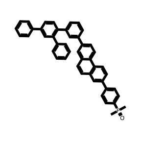 CP(C)(=O)c1ccc(-c2ccc3c(ccc4cc(-c5cccc(-c6ccc(-c7ccccc7)cc6-c6ccccc6)c5)ccc43)c2)cc1